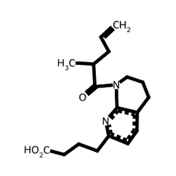 C=CCC(C)C(=O)N1CCCc2ccc(CCCC(=O)O)nc21